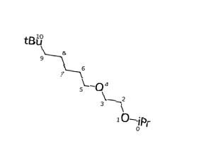 CC(C)OCCOCCCCCC(C)(C)C